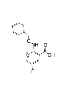 O=C(O)c1cc(F)cnc1NOCc1ccccc1